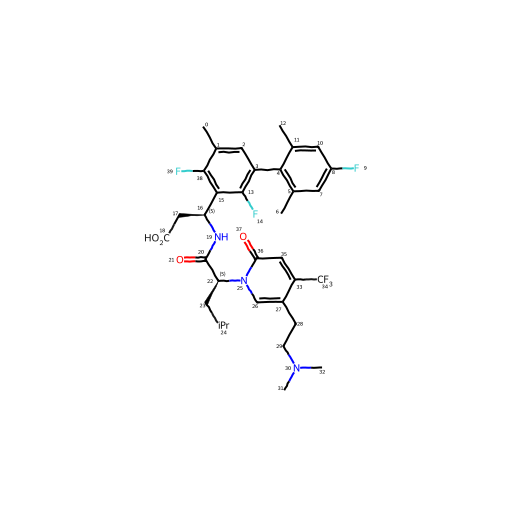 Cc1cc(-c2c(C)cc(F)cc2C)c(F)c([C@H](CC(=O)O)NC(=O)[C@H](CC(C)C)n2cc(CCN(C)C)c(C(F)(F)F)cc2=O)c1F